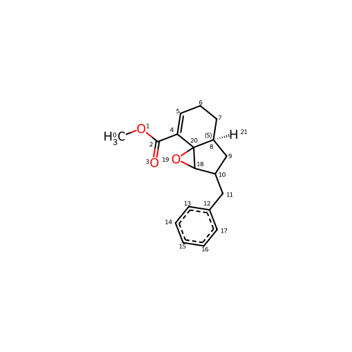 COC(=O)C1=CCC[C@H]2CC(Cc3ccccc3)C3OC132